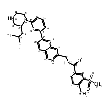 Cc1ccc(C(=O)NCc2cc3nc(-c4cccc(N5CCNCC5CC(F)F)n4)ccc3cn2)cc1S(C)(=O)=O